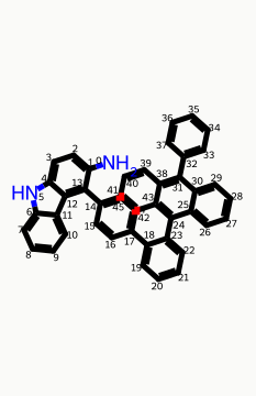 Nc1ccc2[nH]c3ccccc3c2c1-c1ccc(-c2ccccc2-c2c3ccccc3c(-c3ccccc3)c3ccccc23)cc1